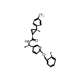 C[C@@H](NC(=O)[C@H]1C[C@]1(C)c1ccc(C(F)(F)F)cc1)c1ccc(OCc2ccccc2F)nc1